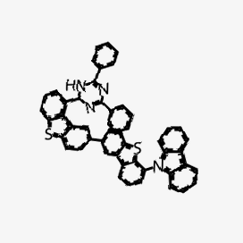 c1ccc(C2=NC(c3cccc4sc5ccc(-c6ccc7sc8c(-n9c%10ccccc%10c%10ccccc%109)cccc8c7c6)cc5c34)NC(c3ccccc3)=N2)cc1